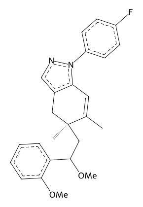 COc1ccccc1C(C[C@@]1(C)Cc2cnn(-c3ccc(F)cc3)c2C=C1C)OC